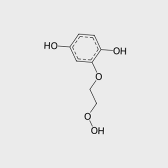 OOCCOc1cc(O)ccc1O